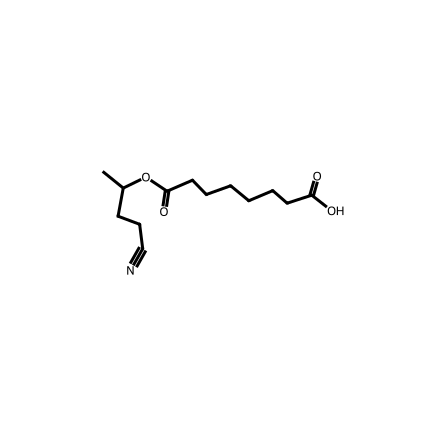 CC(CCC#N)OC(=O)CCCCCCC(=O)O